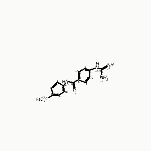 CCOC(=O)c1ccc(NC(=O)c2ccc(NC(=N)N)cc2)cc1